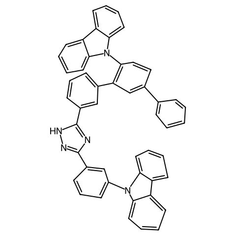 c1ccc(-c2ccc(-n3c4ccccc4c4ccccc43)c(-c3cccc(-c4nc(-c5cccc(-n6c7ccccc7c7ccccc76)c5)n[nH]4)c3)c2)cc1